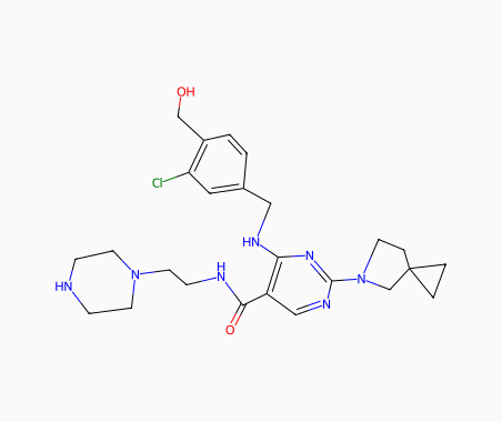 O=C(NCCN1CCNCC1)c1cnc(N2CCC3(CC3)C2)nc1NCc1ccc(CO)c(Cl)c1